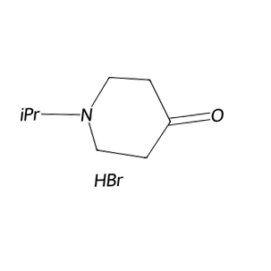 Br.CC(C)N1CCC(=O)CC1